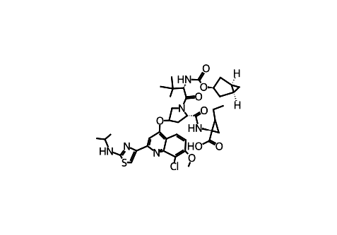 CCC1C[C@]1(NC(=O)[C@@H]1CC(Oc2cc(-c3csc(NC(C)C)n3)nc3c(Cl)c(OC)ccc23)CN1C(=O)[C@@H](NC(=O)O[C@@H]1C[C@@H]2C[C@@H]2C1)C(C)(C)C)C(=O)O